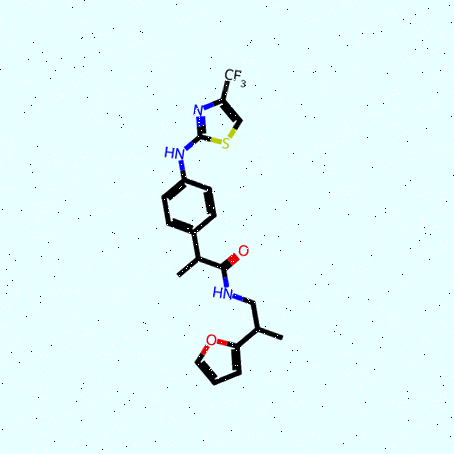 CC(CNC(=O)C(C)c1ccc(Nc2nc(C(F)(F)F)cs2)cc1)c1ccco1